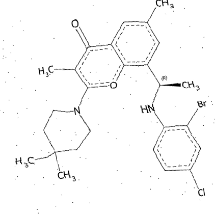 Cc1cc([C@@H](C)Nc2ccc(Cl)cc2Br)c2oc(N3CCC(C)(C)CC3)c(C)c(=O)c2c1